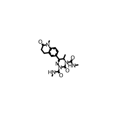 CNC(=O)N1N=C(c2ccc3c(c2)CCC(=O)N3C)C(C)N(C(=O)NC)C1=O